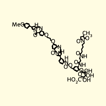 COc1ccc(C2=CN3C(=O)c4ccc(OCCCOc5ccc6c(c5)N=C[C@@H]5CC(c7cccc(NC(=O)OCc8ccc(O[C@@H]9OC(C(=O)O)[C@@H](O)C(O)[C@@H]9O)c(NC(=O)CCNC(=O)CCCCCN9C(=O)CC(C)C9=O)c8)c7)=CN5C6=O)cc4N=C[C@@H]3C2)cc1